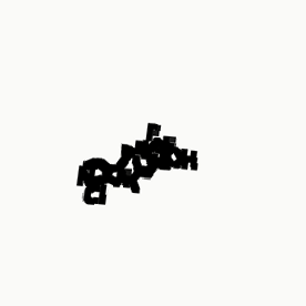 CC(C(/C=N\CC(F)F)=C/C(Cl)=C/O)N1Cc2c(ccnc2Cl)C1=C1CC1